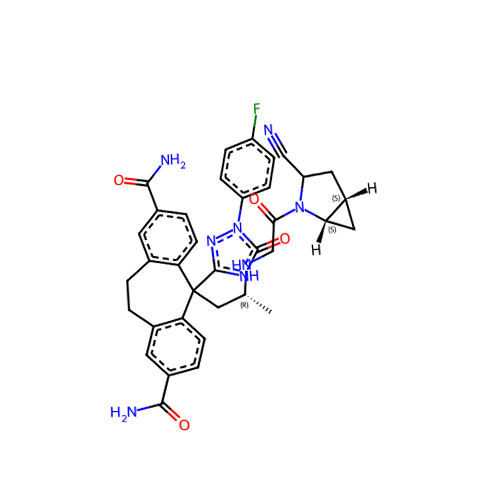 C[C@H](CC1(c2nn(-c3ccc(F)cc3)c(=O)[nH]2)c2ccc(C(N)=O)cc2CCc2cc(C(N)=O)ccc21)NCC(=O)N1C(C#N)C[C@@H]2C[C@@H]21